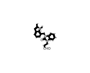 Cc1cc2cccc(Cn3c(=O)n(CCC=O)c4ccccc43)c2n1C